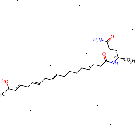 CC(O)C=CCC=CCC=CCCCCCCCC(=O)N[C@@H](CCC(N)=O)C(=O)O